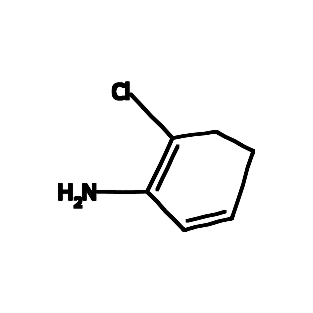 NC1=C(Cl)CCC=C1